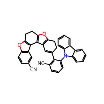 N#Cc1ccc2oc3c(c2c1)-c1c(oc2c1C=C(c1c(C#N)cccc1-n1c4ccccc4c4ccccc41)CC2)CC3